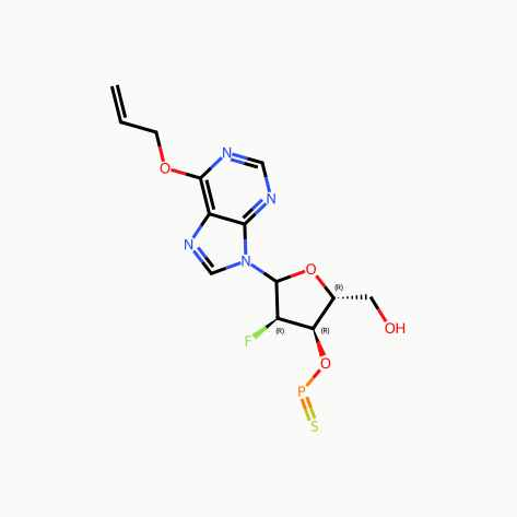 C=CCOc1ncnc2c1ncn2C1O[C@H](CO)[C@@H](OP=S)[C@H]1F